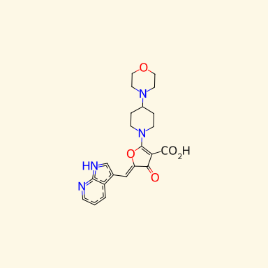 O=C(O)C1=C(N2CCC(N3CCOCC3)CC2)O/C(=C\c2c[nH]c3ncccc23)C1=O